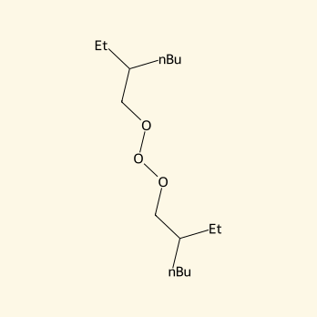 CCCCC(CC)COOOCC(CC)CCCC